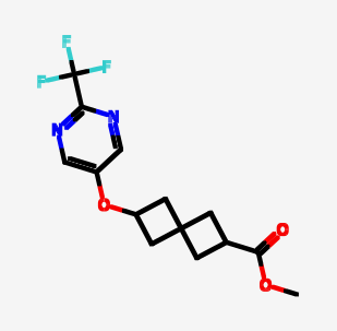 COC(=O)C1CC2(CC(Oc3cnc(C(F)(F)F)nc3)C2)C1